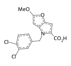 COc1cc2c(cc(C(=O)O)n2Cc2ccc(Cl)c(Cl)c2)o1